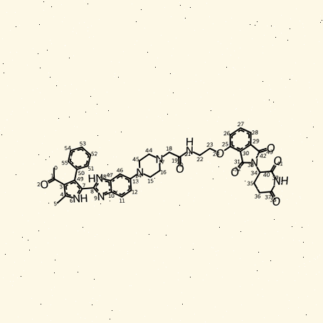 CC(=O)c1c(C)[nH]c(-c2nc3ccc(N4CCN(CC(=O)NCCOc5cccc6c5C(=O)N(C5CCC(=O)NC5=O)C6=O)CC4)cc3[nH]2)c1-c1ccccc1